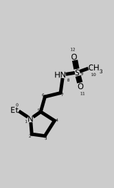 CCN1CCCC1CCNS(C)(=O)=O